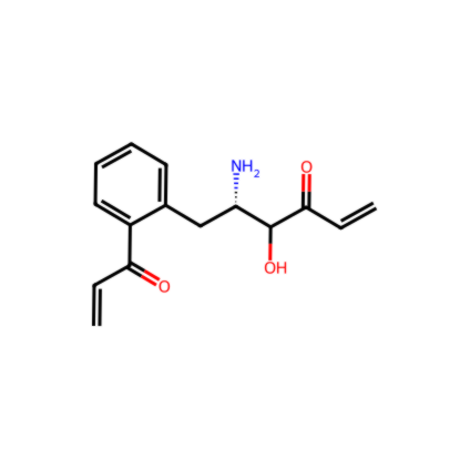 C=CC(=O)c1ccccc1C[C@H](N)C(O)C(=O)C=C